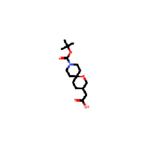 CC(C)(C)OC(=O)N1CCC2(CCC(CC(=O)O)CO2)CC1